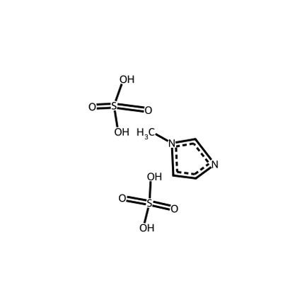 Cn1ccnc1.O=S(=O)(O)O.O=S(=O)(O)O